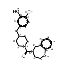 O=C(N1CCC(Cc2ccc(O)c(O)c2)CC1)N1CCSc2ccccc2C1